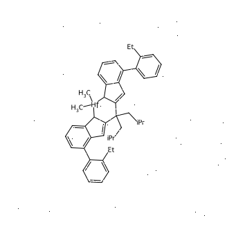 CCc1ccccc1-c1cccc2c1C=C1[CH]2[Hf]([CH3])([CH3])[CH]2C(=Cc3c(-c4ccccc4CC)cccc32)C1(CC(C)C)CC(C)C